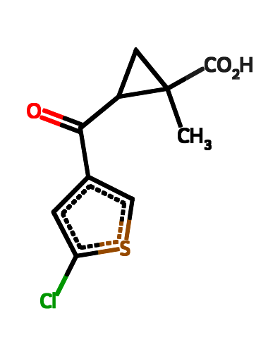 CC1(C(=O)O)CC1C(=O)c1csc(Cl)c1